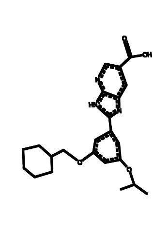 CC(C)Oc1cc(OCC2CCCCC2)cc(-c2nc3cc(C(=O)O)cnc3[nH]2)c1